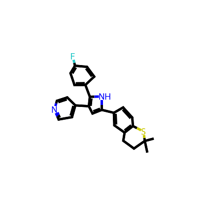 CC1(C)CCc2cc(-c3cc(-c4ccncc4)c(-c4ccc(F)cc4)[nH]3)ccc2S1